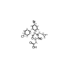 O=C(O)C[C@H]1O[C@H](c2cccc(Cl)c2)C(c2ccc(Br)cc2)N(CC2CC2)C1=O